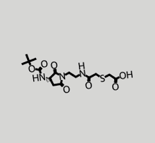 CC(C)(C)OC(=O)N[C@H]1CC(=O)N(CCNC(=O)CSCC(=O)O)C1=O